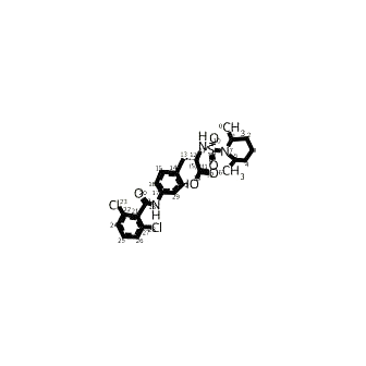 CC1CCCC(C)N1S(=O)(=O)N[C@@H](Cc1ccc(NC(=O)c2c(Cl)cccc2Cl)cc1)C(=O)O